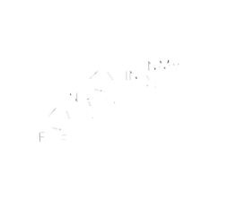 CNC(=O)NC1CCOc2c(C(=O)Nc3ccc(F)c(F)c3)cccc21